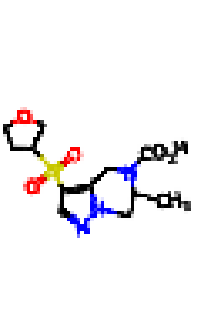 CC1Cn2ncc(S(=O)(=O)C3CCOC3)c2CN1C(=O)O